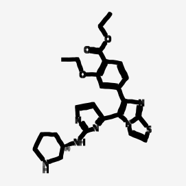 CCOC(=O)c1ccc(-c2nc3sccn3c2-c2ccnc(N[C@@H]3CCCNC3)n2)cc1OCC